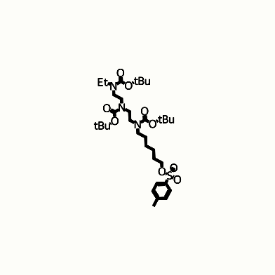 CCN(CCN(CCN(CCCCCCOS(=O)(=O)c1ccc(C)cc1)C(=O)OC(C)(C)C)C(=O)OC(C)(C)C)C(=O)OC(C)(C)C